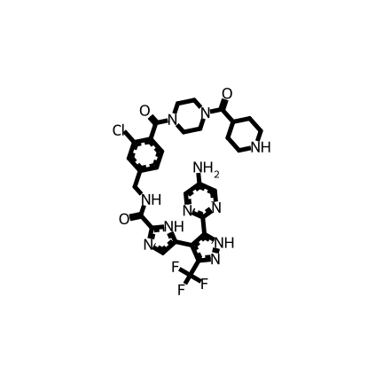 Nc1cnc(-c2[nH]nc(C(F)(F)F)c2-c2cnc(C(=O)NCc3ccc(C(=O)N4CCN(C(=O)C5CCNCC5)CC4)c(Cl)c3)[nH]2)nc1